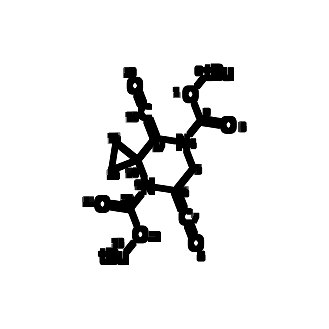 CC(C)(C)OC(=O)N1CC(=C=O)N(C(=O)OC(C)(C)C)C2(CC2)C1=C=O